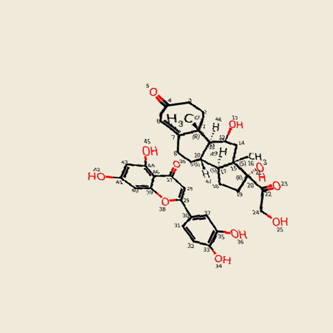 C[C@]12CCC(=O)C=C1CC[C@@H]1[C@@H]2[C@@H](O)C[C@@]2(C)[C@H]1CC[C@]2(O)C(=O)CO.O=c1cc(-c2ccc(O)c(O)c2)oc2cc(O)cc(O)c12